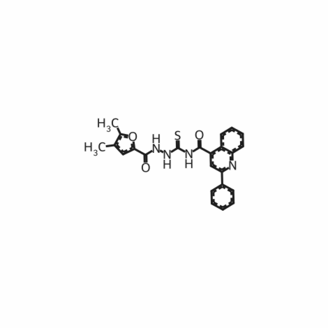 Cc1cc(C(=O)NNC(=S)NC(=O)c2cc(-c3ccccc3)nc3ccccc23)oc1C